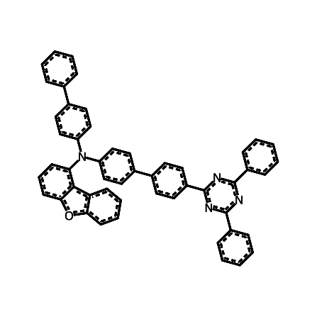 c1ccc(-c2ccc(N(c3ccc(-c4ccc(-c5nc(-c6ccccc6)nc(-c6ccccc6)n5)cc4)cc3)c3cccc4oc5ccccc5c34)cc2)cc1